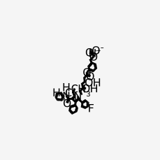 CC(C)c1c(C(=O)Nc2ccccc2)c(-c2ccccc2)c(-c2ccc(F)cc2)n1CCC(O)CC(O)CC(=O)Oc1cccc(CO[N+](=O)[O-])c1